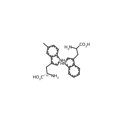 Cc1ccc2[nH]cc(C[C@H](N)C(=O)O)c2c1.NC(Cc1c[nH]c2ccccc12)C(=O)O